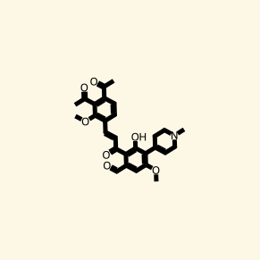 COc1cc(C=O)c(C(=O)/C=C/c2ccc(C(C)=O)c(C(C)=O)c2OC)c(O)c1C1=CCN(C)CC1